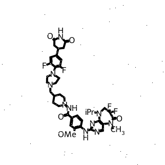 COc1cc(C(=O)NN2CCC(CN3CCN(c4c(F)cc(C5CC(=O)NC(=O)C5)cc4F)CC3)CC2)ccc1Nc1ncc2c(n1)N(C(C)C)CC(F)(F)C(=O)N2C